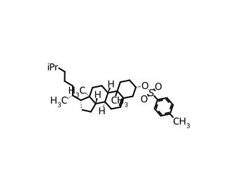 Cc1ccc(S(=O)(=O)O[C@H]2CCC3(C)C(=CC[C@@H]4[C@@H]3CC[C@]3(C)[C@@H]([C@H](C)CCCC(C)C)CC[C@@H]43)C2)cc1